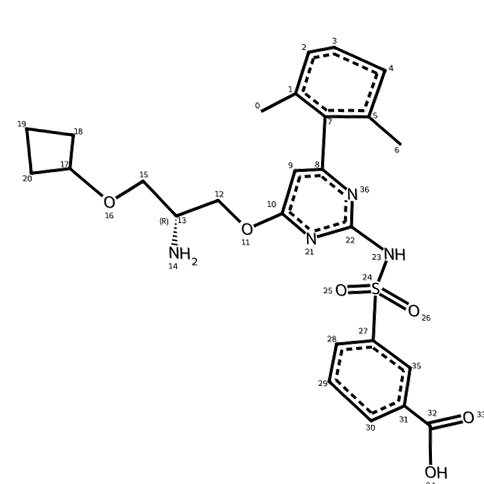 Cc1cccc(C)c1-c1cc(OC[C@H](N)COC2CCC2)nc(NS(=O)(=O)c2cccc(C(=O)O)c2)n1